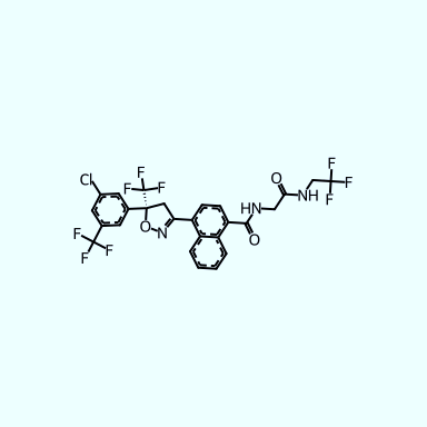 O=C(CNC(=O)c1ccc(C2=NO[C@](c3cc(Cl)cc(C(F)(F)F)c3)(C(F)(F)F)C2)c2ccccc12)NCC(F)(F)F